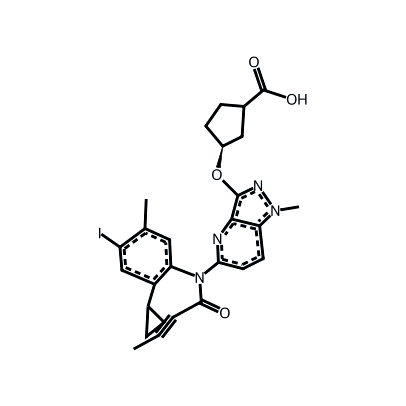 CC#CC(=O)N(c1ccc2c(n1)c(O[C@H]1CCC(C(=O)O)C1)nn2C)c1cc(C)c(I)cc1C1CC1